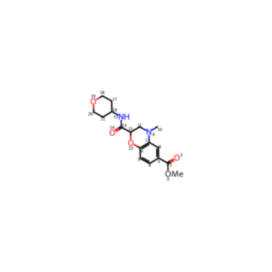 COC(=O)c1ccc2c(c1)N(C)CC(C(=O)NC1CCOCC1)O2